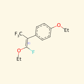 CCO/C(F)=C(/c1ccc(OCC)cc1)C(F)(F)F